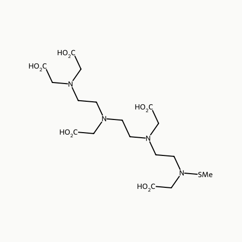 CSN(CCN(CCN(CCN(CC(=O)O)CC(=O)O)CC(=O)O)CC(=O)O)CC(=O)O